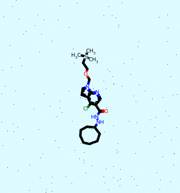 C[Si](C)(C)CCOCn1ccc2c(Cl)c(C(=O)NNC3CCCCCCC3)cnc21